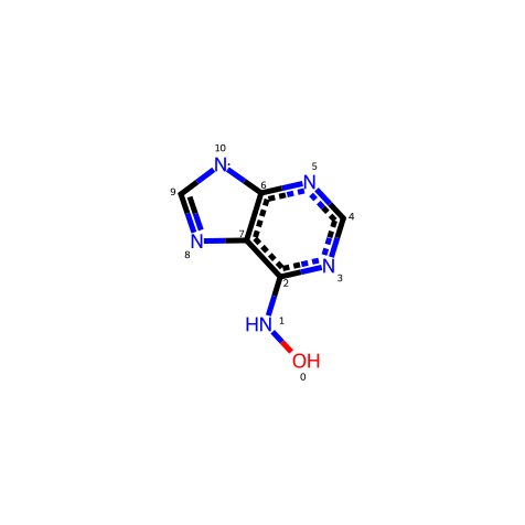 ONc1ncnc2c1N=C[N]2